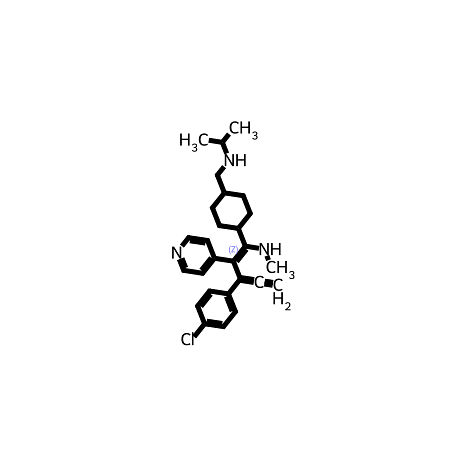 C=C=C(/C(=C(\NC)C1CCC(CNC(C)C)CC1)c1ccncc1)c1ccc(Cl)cc1